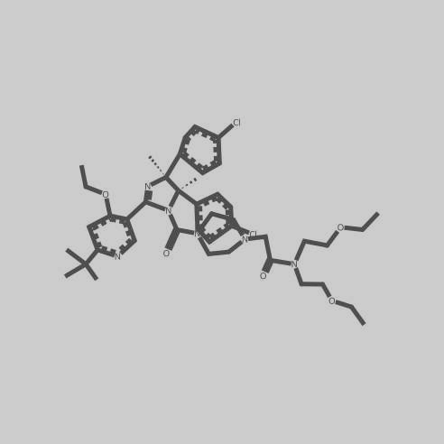 CCOCCN(CCOCC)C(=O)CN1CCN(C(=O)N2C(c3cnc(C(C)(C)C)cc3OCC)=N[C@@](C)(c3ccc(Cl)cc3)[C@@]2(C)c2ccc(Cl)cc2)CC1